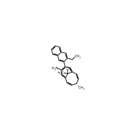 CCc1cc2ccccc2cc1C1=C(N)C=C2/C=C\[C@@H](C)/C=C\C(=C1)C2(C)C